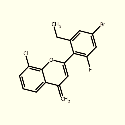 C=C1C=C(c2c(F)cc(Br)cc2CC)Oc2c(Cl)cccc21